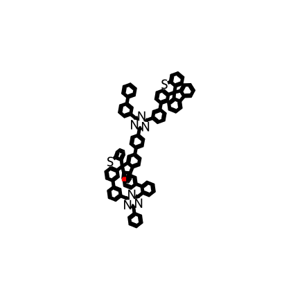 c1ccc(-c2cccc(-c3nc(-c4ccc(-c5ccc6c(c5)C5(c7ccccc7Sc7ccc(-c8cccc(-c9nc(-c%10ccccc%10)nc(-c%10ccccc%10-c%10ccccc%10)n9)c8)cc75)c5ccccc5-6)cc4)nc(-c4cccc(-c5ccc6c(c5)C5(c7ccccc7S6)c6ccccc6-c6ccccc65)c4)n3)c2)cc1